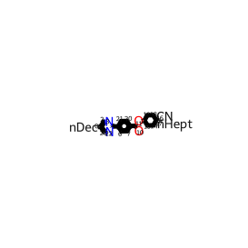 CCCCCCCCCCc1cnc(-c2ccc(C(=O)OC3CCC(C#N)(CCCCCCC)CC3)cc2)nc1